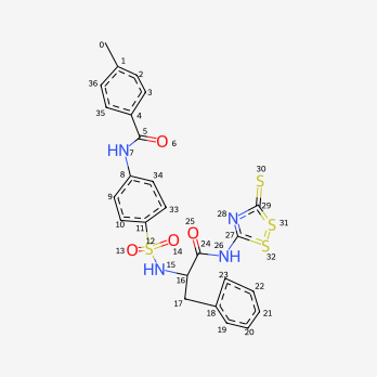 Cc1ccc(C(=O)Nc2ccc(S(=O)(=O)NC(Cc3ccccc3)C(=O)Nc3nc(=S)ss3)cc2)cc1